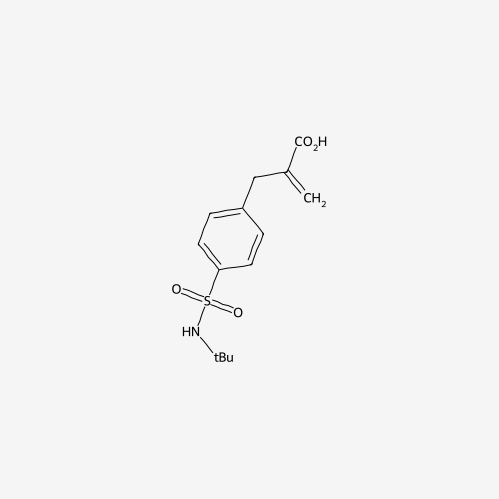 C=C(Cc1ccc(S(=O)(=O)NC(C)(C)C)cc1)C(=O)O